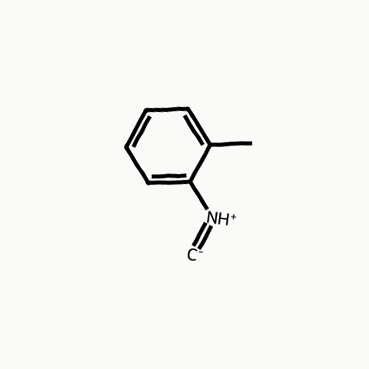 [CH-]=[NH+]c1ccccc1C